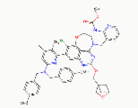 COc1ccc(CN(Cc2ccc(OC)cc2)c2cc(C)c(C(F)(F)F)c(-c3cc4nc(OCC56COC(C5)C6)nc5c4c(c3Cl)OCCN5Cc3cccnc3NC(=O)OC(C)(C)C)n2)cc1